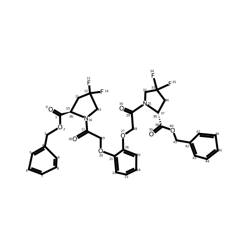 O=C(OCc1ccccc1)[C@H]1CC(F)(F)CN1C(=O)COc1ccccc1OCC(=O)N1CC(F)(F)C[C@@H]1C(=O)OCc1ccccc1